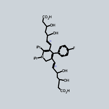 CC(C)C1=C(/C=C/C(O)CC(O)CC(=O)O)C(c2ccc(F)cc2)=C(/C=C/C(O)CC(O)CC(=O)O)CN1C(C)C